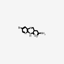 NC(=O)CC1CNc2cc(Br)cnc2NC1=O